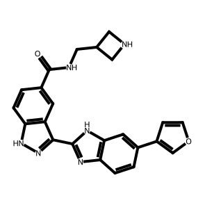 O=C(NCC1CNC1)c1ccc2[nH]nc(-c3nc4ccc(-c5ccoc5)cc4[nH]3)c2c1